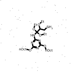 CCCCCCCCOc1nc(NC(OCC)(OCC)C(C[SiH3])OCC)nc(OCCCCCCCC)n1